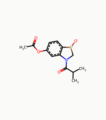 CC(=O)Oc1ccc2c(c1)N(C(=O)C(C)C)C[S+]2[O-]